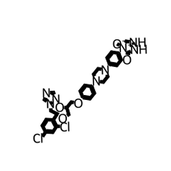 O=C1NNC[N+]1([O-])c1ccc(N2CCN(c3ccc(OCC4COC(Cn5cncn5)(c5ccc(Cl)cc5Cl)O4)cc3)CC2)cc1